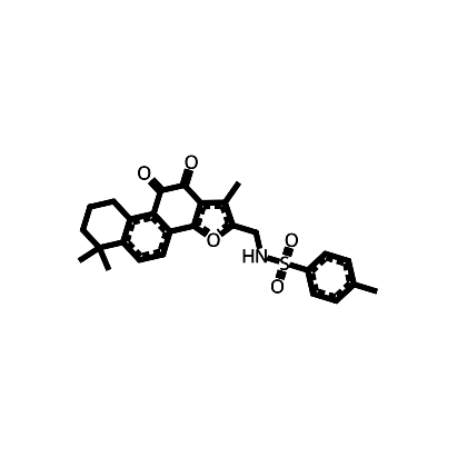 Cc1ccc(S(=O)(=O)NCc2oc3c(c2C)C(=O)C(=O)c2c-3ccc3c2CCCC3(C)C)cc1